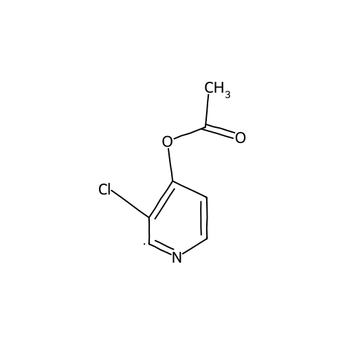 CC(=O)Oc1ccn[c]c1Cl